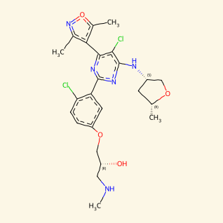 CNC[C@@H](O)COc1ccc(Cl)c(-c2nc(N[C@@H]3CO[C@H](C)C3)c(Cl)c(-c3c(C)noc3C)n2)c1